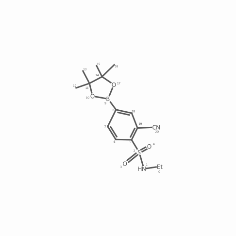 CCNS(=O)(=O)c1ccc(B2OC(C)(C)C(C)(C)O2)cc1C#N